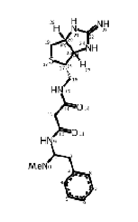 CNC(Cc1ccccc1)NC(=O)CC(=O)NC[C@@H]1SC[C@@H]2NC(=N)N[C@@H]21